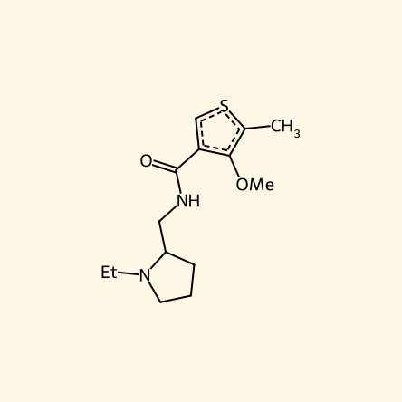 CCN1CCCC1CNC(=O)c1csc(C)c1OC